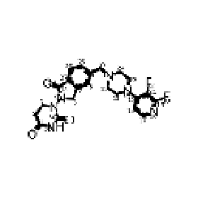 O=C1CCN(N2Cc3cc(CN4CCN(c5ccnc(F)c5F)CC4)ccc3C2=O)C(=O)N1